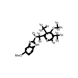 [2H]c1nc(C([2H])([2H])[S+]([O-])c2nc3cc(OC)ccc3[nH]2)c(C([2H])([2H])[2H])c(OC([2H])([2H])[2H])c1C([2H])([2H])[2H]